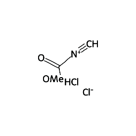 C#[N+]C(=O)OC.Cl.[Cl-]